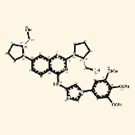 COc1cc(-n2cnc(Nc3nc(N4CCC[C@@H]4CO)nc4cc(N5CCC[C@@H]5CO)ccc34)c2)cc(OC)c1OC